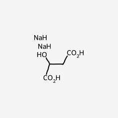 O=C(O)CC(O)C(=O)O.[NaH].[NaH]